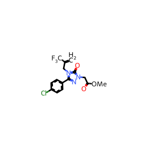 C=C(Cn1c(-c2ccc(Cl)cc2)nn(CC(=O)OC)c1=O)C(F)(F)F